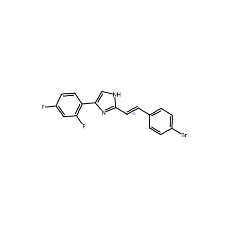 Fc1ccc(-c2c[nH]c(/C=C/c3ccc(Br)cc3)n2)c(F)c1